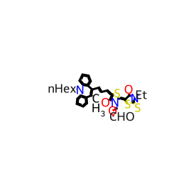 CCCCCCN1c2ccccc2C(C)=C(/C=C/C=c2/s/c(=C3/SC(=S)N(CC)C3=O)n(COC=O)c2=O)c2ccccc21